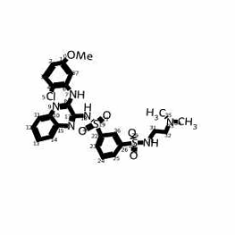 COc1ccc(Cl)c(Nc2nc3ccccc3nc2NS(=O)(=O)c2cccc(S(=O)(=O)NCCN(C)C)c2)c1